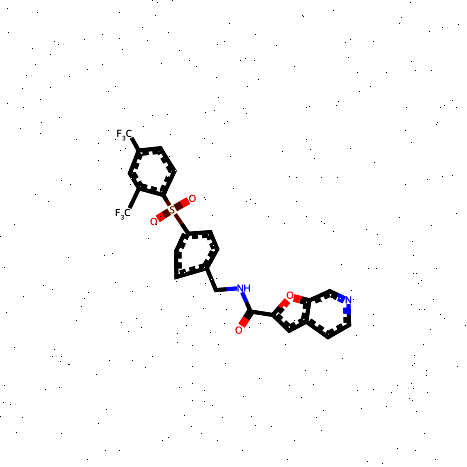 O=C(NCc1ccc(S(=O)(=O)c2ccc(C(F)(F)F)cc2C(F)(F)F)cc1)c1cc2ccncc2o1